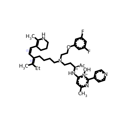 CC/C(C)=C(/C=C\C1=C(C)NCCC1)CCCCN(CCOc1cc(F)cc(F)c1)CC[C@H](Nc1cc(C)nc(-c2ccncc2)[n+]1O)C(C)=O